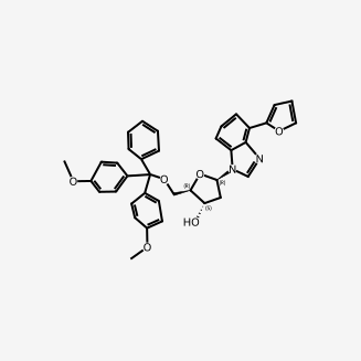 COc1ccc(C(OC[C@H]2O[C@@H](n3cnc4c(-c5ccco5)cccc43)C[C@@H]2O)(c2ccccc2)c2ccc(OC)cc2)cc1